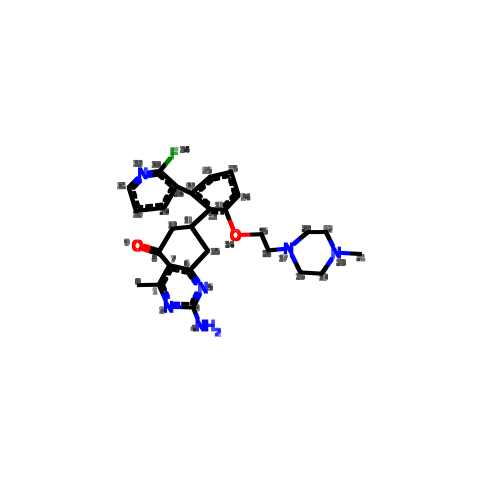 Cc1nc(N)nc2c1C(=O)CC(c1c(OCCN3CCN(C)CC3)cccc1-c1cccnc1F)C2